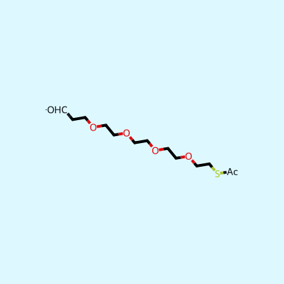 CC(=O)SCCOCCOCCOCCOCC[C]=O